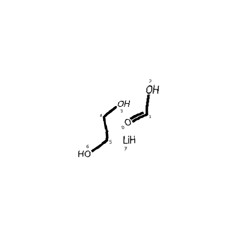 O=CO.OCCO.[LiH]